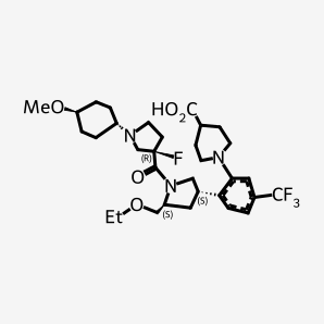 CCOC[C@@H]1C[C@@H](c2ccc(C(F)(F)F)cc2N2CCC(C(=O)O)CC2)CN1C(=O)[C@@]1(F)CCN([C@H]2CC[C@H](OC)CC2)C1